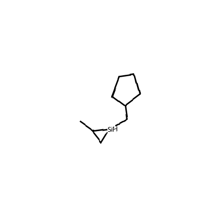 CC1C[SiH]1CC1CCCC1